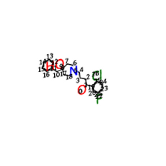 O=C(CCCN1CCC(O)(Cc2ccccc2)CC1)c1cc(F)ccc1Cl